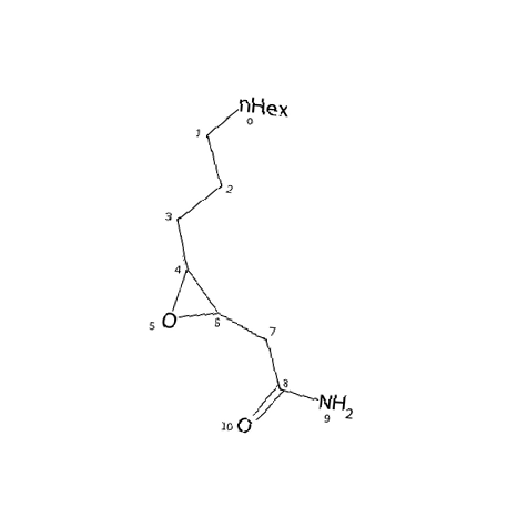 CCCCCCCCCC1OC1CC(N)=O